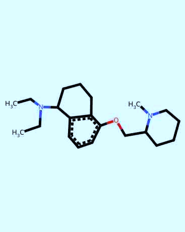 CCN(CC)C1CCCc2c(OCC3CCCCN3C)cccc21